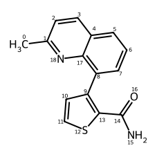 Cc1ccc2cccc(-c3ccsc3C(N)=O)c2n1